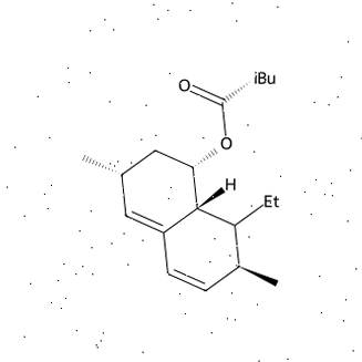 CCC1[C@@H](C)C=CC2=C[C@H](C)C[C@H](OC(=O)[C@@H](C)CC)[C@@H]21